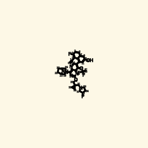 C#Cc1c(F)ccc2cc(O)cc(-c3cnc4c(N5CC6CCC(C5)N6)nc(OCC5(CN6CC[C@@H](F)C6)CC5)nc4c3OC(F)(F)F)c12